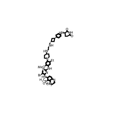 CCc1cc(Nc2ncc(Br)c(Nc3ccc4nccnc4c3P(C)(C)=O)n2)c(OC)cc1N1CCC(NCCNC[C@H]2C[C@H](c3ccc(NC4CCC(=O)NC4=O)cc3)C2)CC1